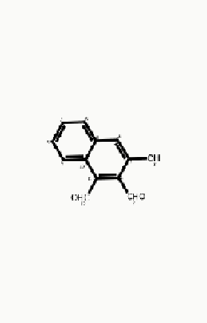 O=Cc1c(O)cc2ccccc2c1C=O